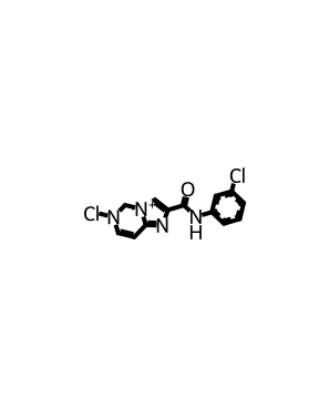 O=C(Nc1cccc(Cl)c1)C1=C[N+]2CN(Cl)C=CC2=N1